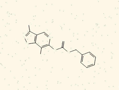 COc1n[nH]c2c(Br)c(NC(=O)NCc3ccccc3)ncc12